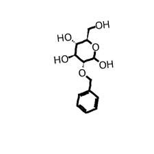 OC[C@H]1OC(O)[C@H](OCc2ccccc2)[C@@H](O)[C@@H]1O